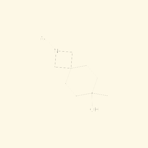 CC(=O)N1CC2(CCC(C)(O)CC2)C1